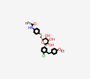 CCCC(=O)Nc1ccc(SC[C@H]2O[C@@H](c3ccc(Cl)c(Cc4ccc(OCC)cc4)c3)[C@H](O)[C@@H](O)[C@@H]2O)cc1